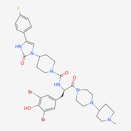 CN1CCC(N2CCN(C(=O)[C@@H](Cc3cc(Br)c(O)c(Br)c3)NC(=O)N3CCC(n4cc(-c5ccc(F)cc5)[nH]c4=O)CC3)CC2)CC1